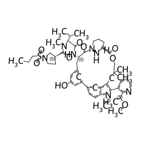 CCCS(=O)(=O)N1CC[C@H](C(=O)N(C)C(C(=O)N[C@H]2Cc3cc(O)cc(c3)-c3ccc4c(c3)c(c(-c3cccnc3[C@H](C)OC)n4CC)CC(C)(C)COC(=O)[C@@H]3CCCN(N3)C2=O)C(C)C)C1